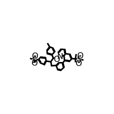 Cc1ccc(C(=O)C(Cc2cccc(-c3cc(C(C)(C)S(C)(=O)=O)cc4cccnc34)c2)c2ccc(S(C)(=O)=O)cc2)cc1